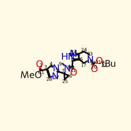 COC(=O)c1cnc(C2(N(C)C(=O)c3[nH]nc4c3CN(C(=O)OC(C)(C)C)CC4)CC2)nc1